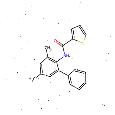 Cc1cc(C)c(NC(=O)c2cccs2)c(-c2ccccc2)c1